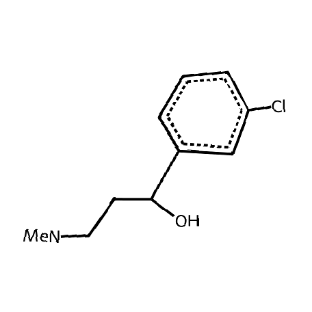 CNCCC(O)c1cccc(Cl)c1